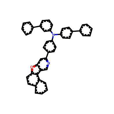 c1ccc(-c2ccc(N(c3ccc(-c4cc5oc6ccc7ccccc7c6c5cn4)cc3)c3cccc(-c4ccccc4)c3)cc2)cc1